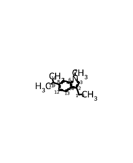 CCc1cn(C)c2cc(C(C)C)ccc12